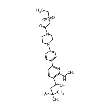 CCS(=O)(=O)CC(=O)N1CCN(c2ccc(-c3ccc(N(O)CC(C)(C)C)c(NC)n3)cc2)CC1